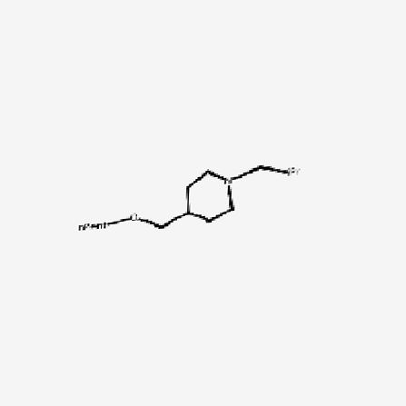 CCCCCOCC1CCN(CC(C)C)CC1